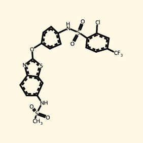 CS(=O)(=O)Nc1ccc2nc(Oc3ccc(NS(=O)(=O)c4ccc(C(F)(F)F)cc4Cl)cc3)sc2c1